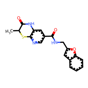 CC1Sc2ncc(C(=O)NCc3cc4ccccc4o3)cc2NC1=O